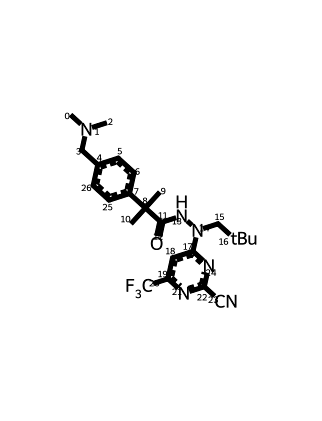 CN(C)Cc1ccc(C(C)(C)C(=O)NN(CC(C)(C)C)c2cc(C(F)(F)F)nc(C#N)n2)cc1